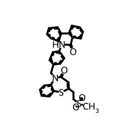 CS(=O)(=O)CCC1=CC(=O)N(Cc2ccc(NC(=O)c3ccccc3-c3ccccc3)cc2)c2ccccc2S1